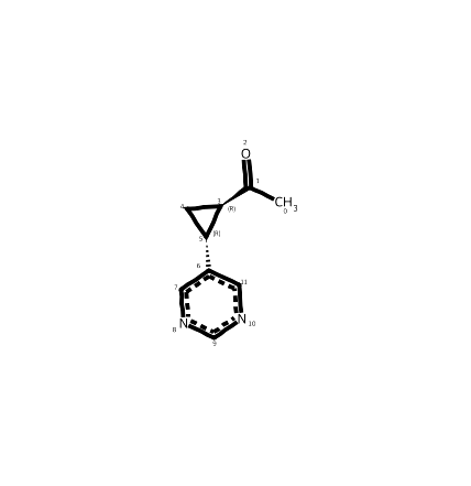 CC(=O)[C@@H]1C[C@H]1c1cncnc1